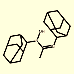 CC(=NC1C2CC3CC(C2)CC1C3)N(O)C1C2CC3CC(C2)CC1C3